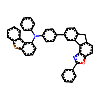 c1ccc(-c2nc3c4c(ccc3o2)Cc2ccc(-c3ccc(N(c5ccccc5)c5cccc6sc7ccccc7c56)cc3)cc2-4)cc1